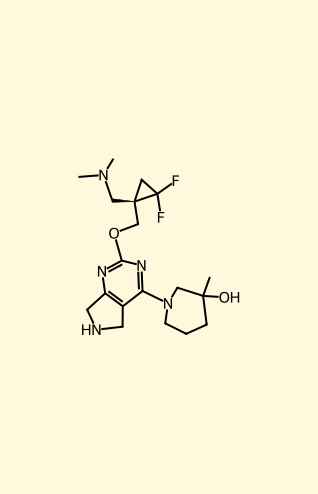 CN(C)C[C@@]1(COc2nc3c(c(N4CCCC(C)(O)C4)n2)CNC3)CC1(F)F